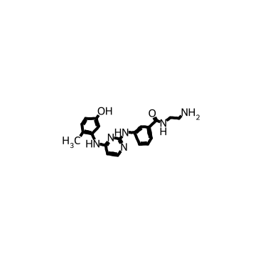 Cc1ccc(O)cc1Nc1ccnc(Nc2cccc(C(=O)NCCN)c2)n1